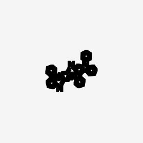 N#CC1=C(n2c3ccccc3c3ccccc32)CC(C#N)C(n2c3ccccc3c3c4c5ccccc5n(-c5ccccc5)c4ccc32)=C1